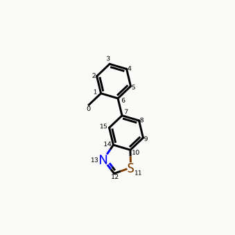 Cc1ccccc1-c1ccc2scnc2c1